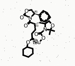 CC(C)(C)OC(=O)N1C(C[C@H](CCC(=O)OC2CCCCC2)C(=O)N2C(=O)OC[C@H]2c2ccccc2)COC1(C)C